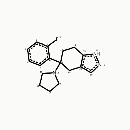 Fc1ccccc1C1(N2CCCC2)CCc2[nH]ncc2C1